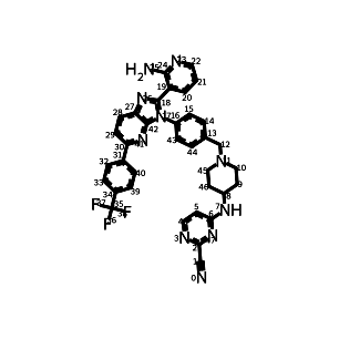 N#Cc1nccc(NC2CCN(Cc3ccc(-n4c(-c5cccnc5N)nc5ccc(-c6ccc(C(F)(F)F)cc6)nc54)cc3)CC2)n1